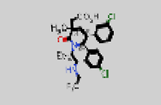 CC[C@@H](CNCC(F)(F)F)N1C(=O)[C@](C)(CC(=O)O)C[C@H](c2cccc(Cl)c2)[C@H]1c1ccc(Cl)cc1